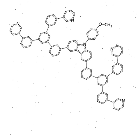 COc1ccc(-n2c3ccc(-c4cccc(-c5cc(-c6cccc(-c7cccnc7)c6)cc(-c6cccc(-c7cccnc7)c6)c5)c4)cc3c3cc(-c4cccc(-c5cc(-c6cccc(-c7cccnc7)c6)cc(-c6cccc(-c7cccnc7)c6)c5)c4)ccc32)cc1